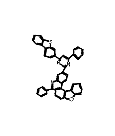 c1ccc(-c2cc(-c3ccc4c(c3)sc3ccccc34)nc(-c3ccc4c(c3)nc(-c3ccccc3)c3ccc5oc6ccccc6c5c34)n2)cc1